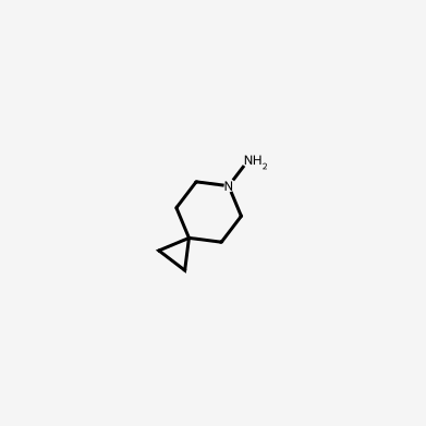 NN1CCC2(CC1)CC2